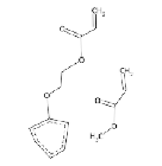 C=CC(=O)OC.C=CC(=O)OCCOc1ccccc1